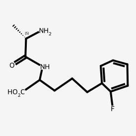 C[C@H](N)C(=O)NC(CCCc1ccccc1F)C(=O)O